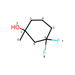 CC1(O)CCCC(F)(F)C1